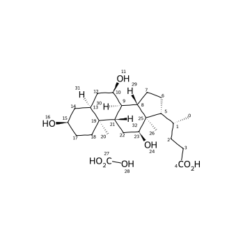 C[C@H](CCC(=O)O)[C@H]1CC[C@H]2[C@@H]3[C@H](O)C[C@@H]4C[C@H](O)CC[C@]4(C)[C@H]3C[C@H](O)[C@]12C.O=C(O)O